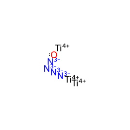 [N-3].[N-3].[N-3].[N-3].[O].[Ti+4].[Ti+4].[Ti+4]